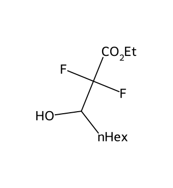 CCCCCCC(O)C(F)(F)C(=O)OCC